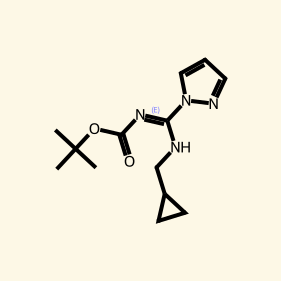 CC(C)(C)OC(=O)/N=C(\NCC1CC1)n1cccn1